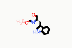 BOC=N[C@H](C=O)Cc1c[nH]c2ccccc12